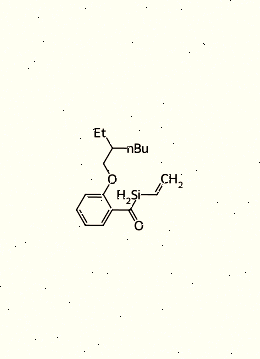 C=C[SiH2]C(=O)c1ccccc1OCC(CC)CCCC